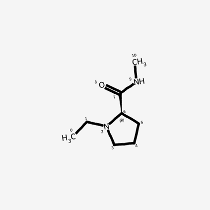 CCN1CCC[C@@H]1C(=O)NC